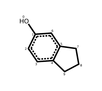 Oc1[c]cc2c(c1)CCC2